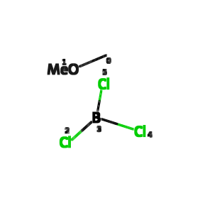 COC.ClB(Cl)Cl